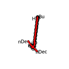 CCCCCCCCCCCCCCCCCC(=O)OC[C@@]1(COP(=O)(O)OCCNC(=O)CCOCCOCCOCCOCCOCCOCCOCCOCCOCCOCCOCCOCCNC(=O)OC(C)(C)C)N=C1OC(=O)CCCCCCCCCCCCCCCCC